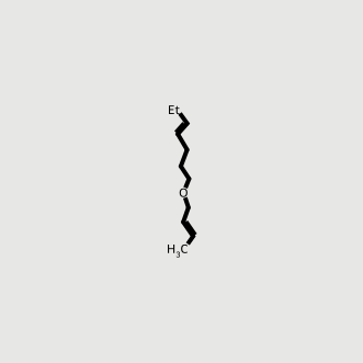 [CH2]C/C=C/CCCOC/C=C/C